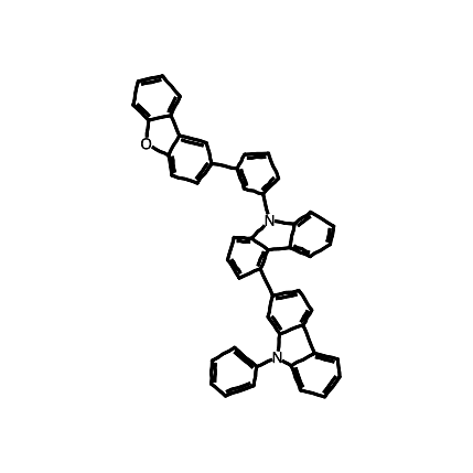 c1ccc(-n2c3ccccc3c3ccc(-c4cccc5c4c4ccccc4n5-c4cccc(-c5ccc6oc7ccccc7c6c5)c4)cc32)cc1